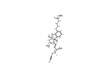 CC#CC[C@@H](C)[C@H](O)/C=C/[C@@H]1[C@H]2c3cccc(CCCCN(C)C(C)(C)C)c3O[C@H]2C[C@H]1O